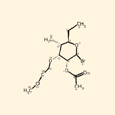 CC[C@H]1OC(Br)[C@H](OC(C)=O)[C@H](OCCOC)[C@@H]1C